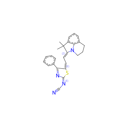 CC1(C)/C(=C/C=C2/S/C(=N/C#N)N=C2c2ccccc2)N2CCCc3cccc1c32